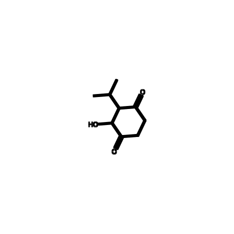 CC(C)C1C(=O)CCC(=O)C1O